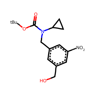 CC(C)(C)OC(=O)N(Cc1cc(CO)cc([N+](=O)[O-])c1)C1CC1